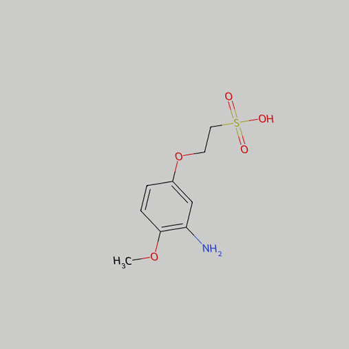 COc1ccc(OCCS(=O)(=O)O)cc1N